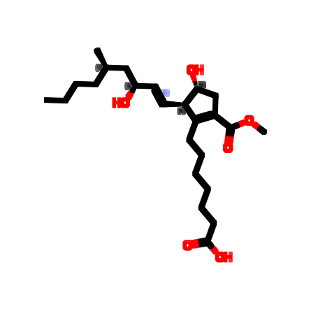 CCCC[C@@H](C)C[C@H](O)/C=C/[C@@H]1C(CCCCCCC(=O)O)=C(C(=O)OC)C[C@H]1O